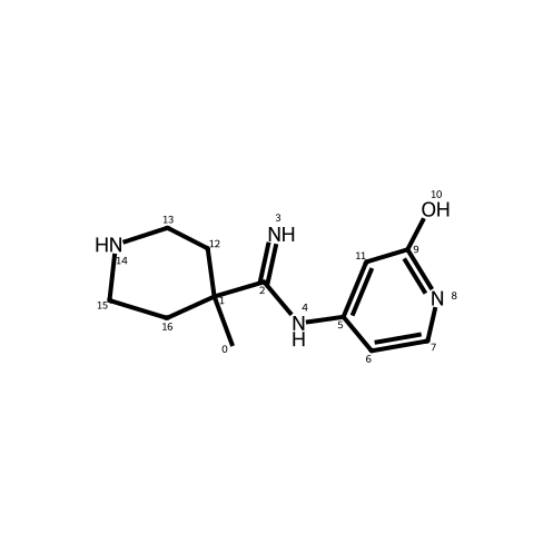 CC1(C(=N)Nc2ccnc(O)c2)CCNCC1